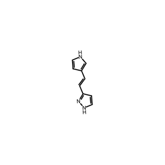 C(=Cc1cc[nH]n1)c1cc[nH]c1